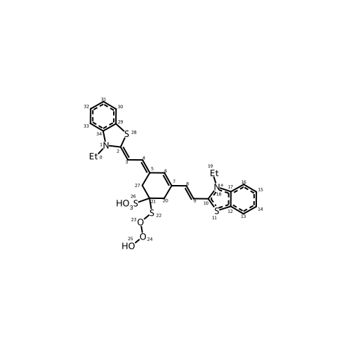 CCN1/C(=C/C=C2C=C(/C=C/c3sc4ccccc4[n+]3CC)CC(SOOO)(S(=O)(=O)O)C/2)Sc2ccccc21